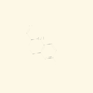 O=CC1Nc2ccc(O)cc2CO1